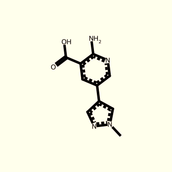 Cn1cc(-c2cnc(N)c(C(=O)O)c2)cn1